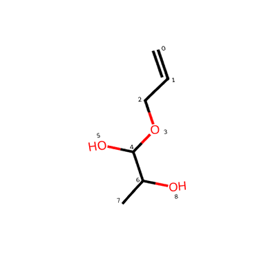 C=CCOC(O)C(C)O